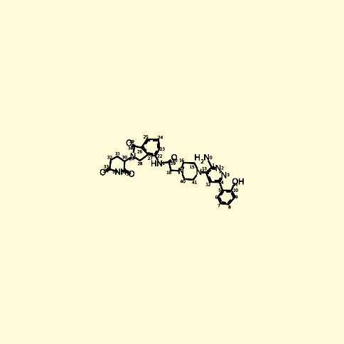 Nc1nnc(-c2ccccc2O)cc1N1CCN(CC(=O)Nc2cccc3c2CN(C2CCC(=O)NC2=O)C3=O)CC1